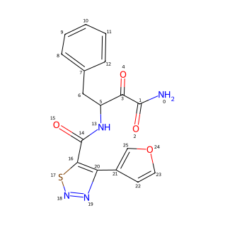 NC(=O)C(=O)C(Cc1ccccc1)NC(=O)c1snnc1-c1ccoc1